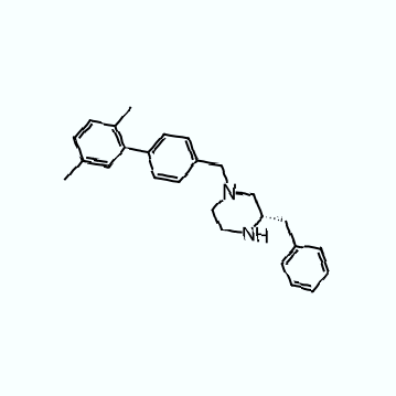 Cc1ccc(C)c(-c2ccc(CN3CCN[C@@H](Cc4ccccc4)C3)cc2)c1